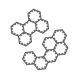 c1cc2cccc3c4cccc5cccc(c(c1)c23)c54.c1ccc2c(c1)ccc1cc3ccc4cccc5ccc(c12)c3c45